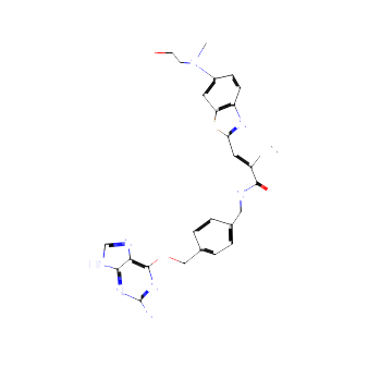 CN(CCO)c1ccc2nc(/C=C(\C#N)C(=O)NCc3ccc(COc4nc(N)nc5[nH]cnc45)cc3)sc2c1